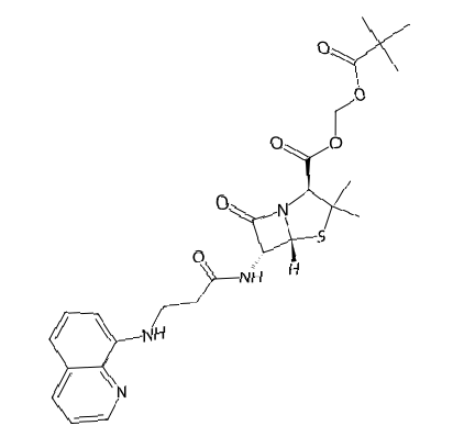 CC(C)(C)C(=O)OCOC(=O)[C@@H]1N2C(=O)[C@@H](NC(=O)CCNc3cccc4cccnc34)[C@H]2SC1(C)C